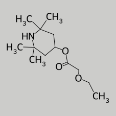 CCOCC(=O)OC1CC(C)(C)NC(C)(C)C1